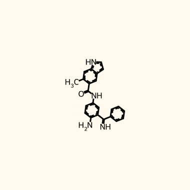 Cc1cc2[nH]ccc2cc1C(=O)Nc1ccc(N)c(C(=N)c2ccccc2)c1